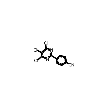 N#Cc1ccc(-c2nc(Cl)c(Cl)c(Cl)n2)cc1